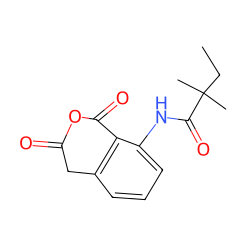 CCC(C)(C)C(=O)Nc1cccc2c1C(=O)OC(=O)C2